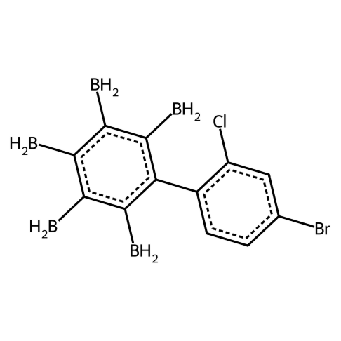 Bc1c(B)c(B)c(-c2ccc(Br)cc2Cl)c(B)c1B